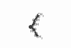 C=CC(=O)OCCNC(=O)OCc1ccccc1OCC(O)COC(=O)NCCOC(=O)C=C